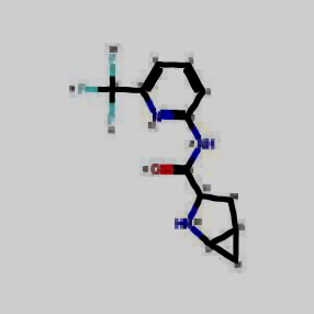 O=C(Nc1cccc(C(F)(F)F)n1)C1CC2CC2N1